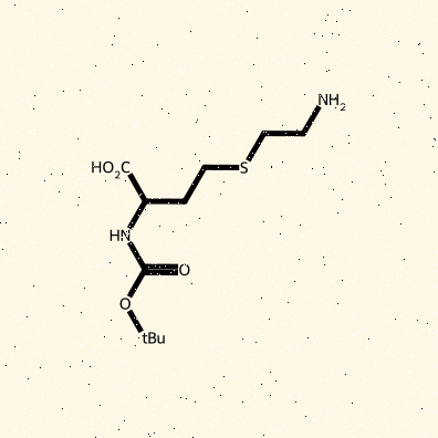 CC(C)(C)OC(=O)NC(CCSCCN)C(=O)O